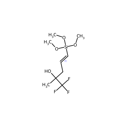 CO[Si](/C=C/CC(C)(O)C(F)(F)F)(OC)OC